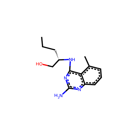 CCC[C@@H](CO)Nc1nc(N)nc2cccc(C)c12